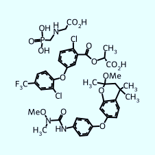 CON(C)C(=O)Nc1ccc(Oc2ccc3c(c2)OC(C)(OC)CC3(C)C)cc1.C[C@H](OC(=O)c1cc(Oc2ccc(C(F)(F)F)cc2Cl)ccc1Cl)C(=O)O.O=C(O)CNCP(=O)(O)O